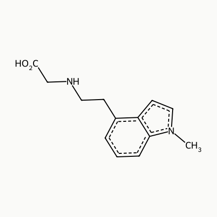 Cn1ccc2c(CCNCC(=O)O)cccc21